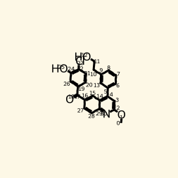 COc1cc(-c2cccc(CCO)c2)c2cc(C(=O)c3ccc(Cl)c(O)c3)ccc2n1